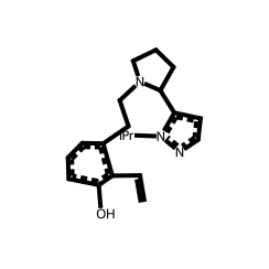 C=Cc1c(O)cccc1CCN1CCCC1c1ccnn1C(C)C